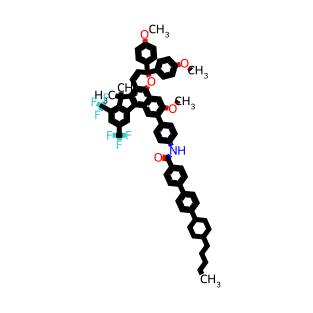 CCCCCC1CCC(c2ccc(-c3ccc(C(=O)Nc4ccc(-c5cc6c7c(c8c(c6cc5OC)OC(c5ccc(OC)cc5)(c5ccc(OC)cc5)C=C8)C(C)(C)c5c-7cc(C(F)(F)F)cc5C(F)(F)F)cc4)cc3)cc2)CC1